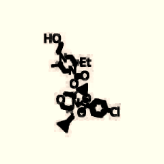 CC[C@H]1CN(CCO)[C@H](C)CN1C(=O)OC1([C@H]2COC[C@@H](CC3CC3)N2S(=O)(=O)c2ccc(Cl)cc2)CC1